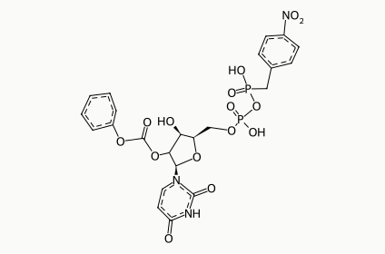 O=C(Oc1ccccc1)OC1[C@@H](O)[C@@H](COP(=O)(O)OP(=O)(O)Cc2ccc([N+](=O)[O-])cc2)O[C@H]1n1ccc(=O)[nH]c1=O